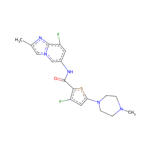 Cc1cn2cc(NC(=O)c3sc(N4CCN(C)CC4)cc3F)cc(F)c2n1